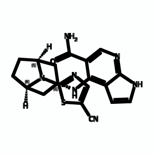 N#Cc1cnc(N2[C@@H]3CC[C@H]2C[C@H](Nc2c(C(N)=O)cnc4[nH]ccc24)C3)s1